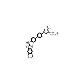 CC(CC(=O)c1ccc(-c2ccc(Nc3nc4cc5c(cc4o3)CCCC5)cc2)cc1)C(=O)O